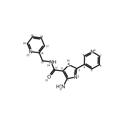 Nc1nc(-c2cccnc2)sc1C(=O)NCc1ccccn1